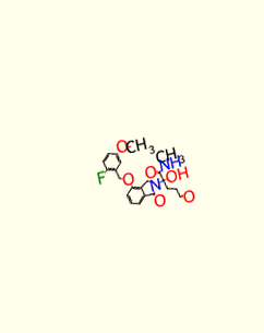 CNC(=O)C(O)(CCC=O)N1Cc2c(OCc3cc(OC)ccc3F)cccc2C1=O